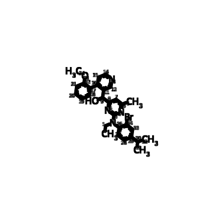 CCN(c1nc(C)cc(C(O)c2cnccc2-c2ccccc2OC)n1)c1ccc(C(C)C)cc1Br